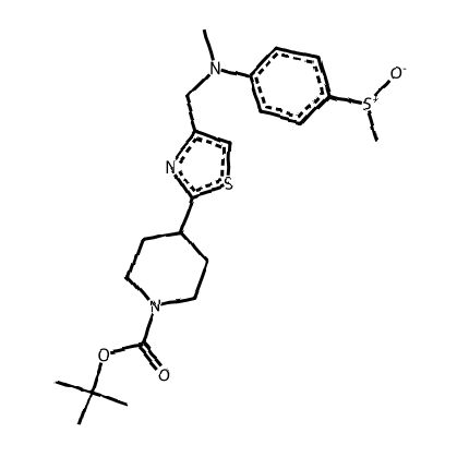 CN(Cc1csc(C2CCN(C(=O)OC(C)(C)C)CC2)n1)c1ccc([S+](C)[O-])cc1